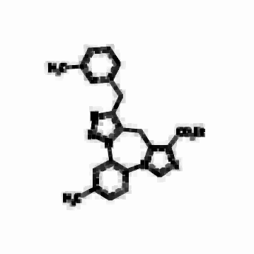 CCOC(=O)c1ncn2c1Cc1c(Cc3cccc(C)c3)nnn1-c1cc(C)ccc1-2